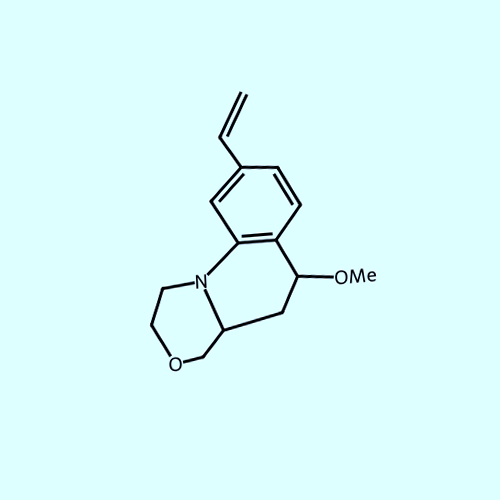 C=Cc1ccc2c(c1)N1CCOCC1CC2OC